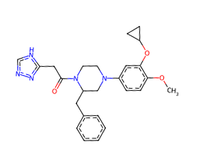 COc1ccc(N2CCN(C(=O)Cc3nnc[nH]3)C(Cc3ccccc3)C2)cc1OC1CC1